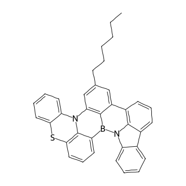 CCCCCCc1cc2c3c(c1)N1c4ccccc4Sc4cccc(c41)B3n1c3ccccc3c3cccc-2c31